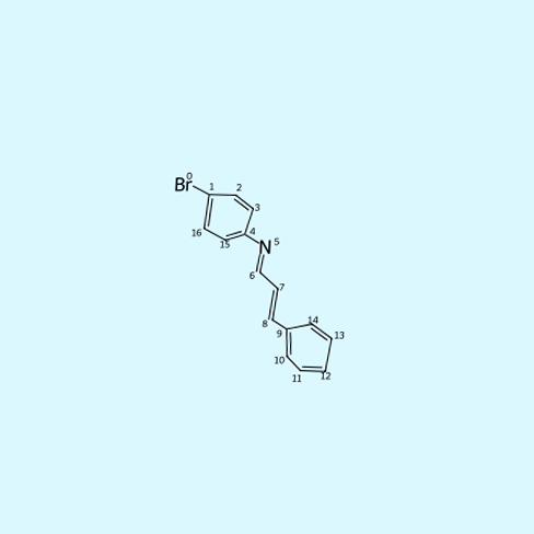 Brc1ccc(/N=C/C=C/c2ccccc2)cc1